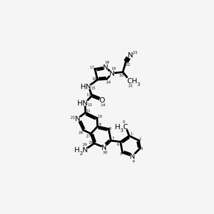 Cc1ccncc1-c1cc2cc(NC(=O)Nc3cnn(C(C)C#N)c3)ncc2c(N)n1